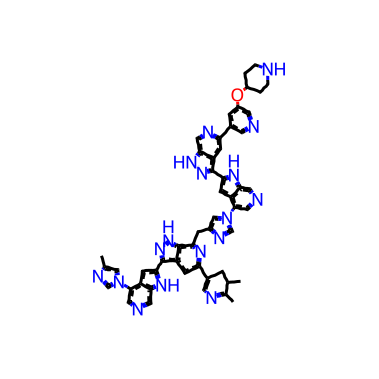 CC1=NC=C(c2cc3c(-c4cc5c(-n6cnc(C)c6)cncc5[nH]4)n[nH]c3c(Cc3cn(-c4cncc5[nH]c(-c6n[nH]c7cnc(-c8cncc(OC9CCNCC9)c8)cc67)cc45)cn3)n2)CC1C